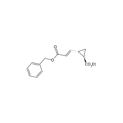 CCOC(=O)[C@@H]1C[C@H]1/C=C/C(=O)OCc1ccccc1